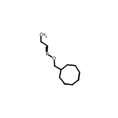 CC/C=N/OCC1CCCCCCC1